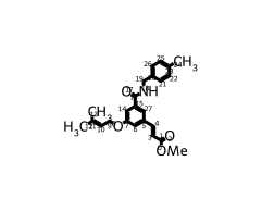 COC(=O)/C=C/c1cc(OCC=C(C)C)cc(C(=O)NCc2ccc(C)cc2)c1